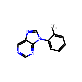 FC(F)(F)c1ccccc1-n1cnc2cncnc21